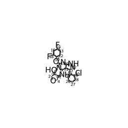 O[C@@H]1COC[C@H]1Nc1nc(Oc2ccc(F)cc2F)nc2[nH]nc(-c3ccccc3Cl)c12